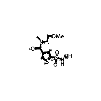 COCCN(C)C(=O)c1csc(S(=O)(=O)NO)c1